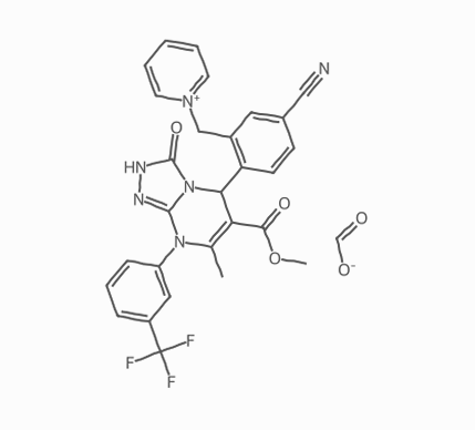 COC(=O)C1=C(C)N(c2cccc(C(F)(F)F)c2)c2n[nH]c(=O)n2C1c1ccc(C#N)cc1C[n+]1ccccc1.O=C[O-]